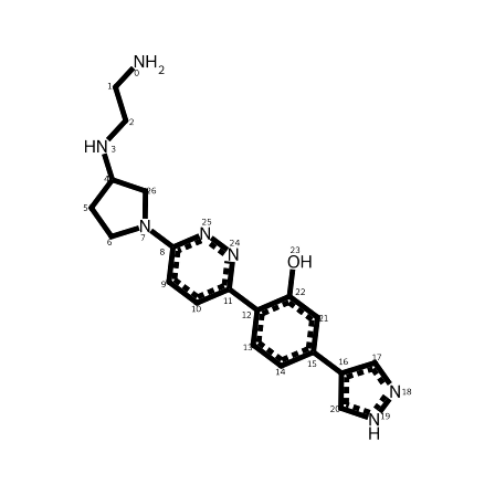 NCCNC1CCN(c2ccc(-c3ccc(-c4cn[nH]c4)cc3O)nn2)C1